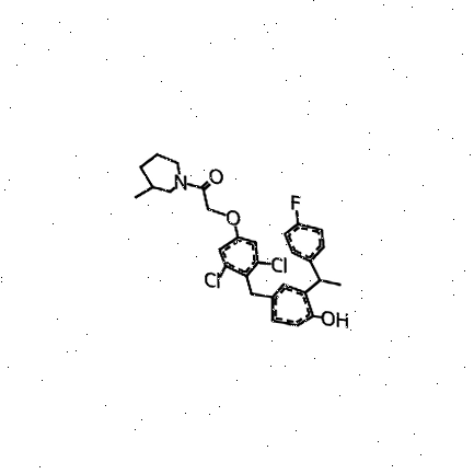 CC1CCCN(C(=O)COc2cc(Cl)c(Cc3ccc(O)c(C(C)c4ccc(F)cc4)c3)c(Cl)c2)C1